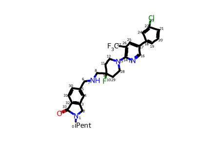 CCCC(C)N1Cc2cc(CNCC3(F)CCN(c4ncc(-c5cccc(Cl)c5)cc4C(F)(F)F)CC3)ccc2C1=O